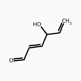 C=CC(O)C=CC=O